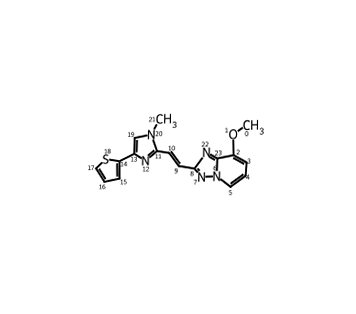 COc1cccn2nc(C=Cc3nc(-c4cccs4)cn3C)nc12